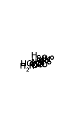 NC(=O)[C@H](CO)NC(=O)c1csc2c1S(=O)(=O)N=C(c1c(O)c3ccccc3n(Cc3ccccc3)c1=O)N2